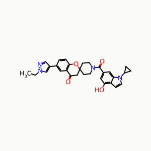 CCn1cc(-c2ccc3c(c2)C(=O)CC2(CCN(C(=O)c4cc(O)c5ccn(C6CC6)c5c4)CC2)O3)cn1